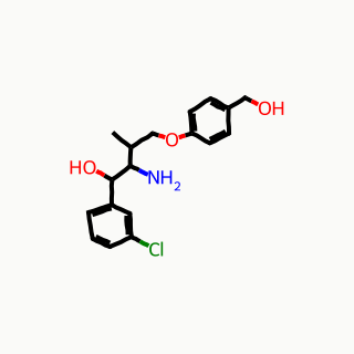 CC(COc1ccc(CO)cc1)C(N)C(O)c1cccc(Cl)c1